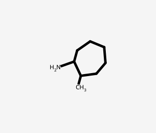 CC1CCCCCC1N